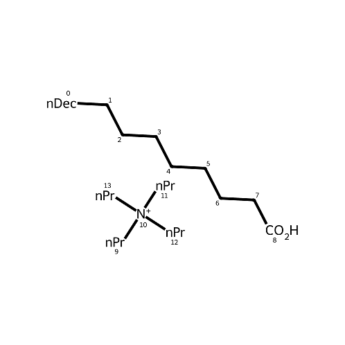 CCCCCCCCCCCCCCCCCC(=O)O.CCC[N+](CCC)(CCC)CCC